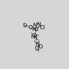 Cc1nn(C2CCN(C(=O)OC(C)(C)C)CC2)c(C)c1-c1cc2c(Cl)ncnc2n1COCC[Si](C)(C)C